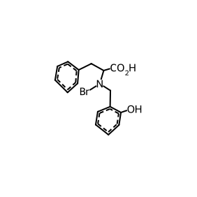 O=C(O)C(Cc1ccccc1)N(Br)Cc1ccccc1O